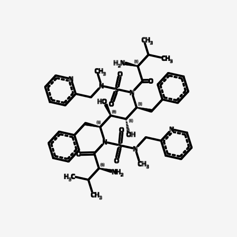 CC(C)[C@H](N)C(=O)N([C@@H](Cc1ccccc1)[C@H](O)[C@H](O)[C@H](Cc1ccccc1)N(C(=O)[C@@H](N)C(C)C)S(=O)(=O)N(C)Cc1ccccn1)S(=O)(=O)N(C)Cc1ccccn1